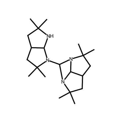 CC1(C)CC2CC(C)(C)N(C3N4C5C(CC4(C)C)CC(C)(C)N53)C2N1